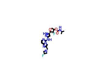 CC(C)NC(=O)O[C@@H]1CO[C@H](c2cc(Nc3nccc4nc(CN5CC(F)C5)cn34)n[nH]2)[C@@H]1F